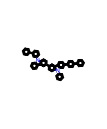 c1ccc(-c2ccc(-c3ccc4c5cc(-c6ccc7c(c6)c6ccccc6n7-c6cccc(-c7ccccc7)c6)ccc5n(-c5ccccc5)c4c3)cc2)cc1